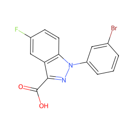 O=C(O)c1nn(-c2cccc(Br)c2)c2ccc(F)cc12